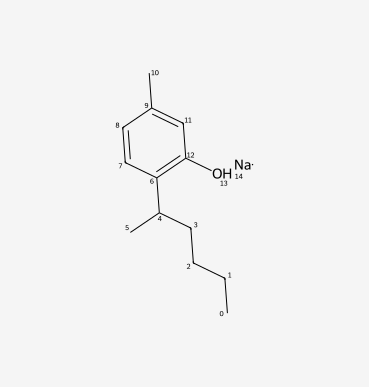 CCCCC(C)c1ccc(C)cc1O.[Na]